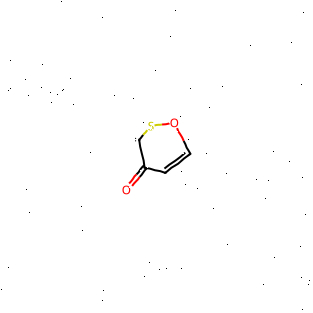 O=C1[C]SOC=C1